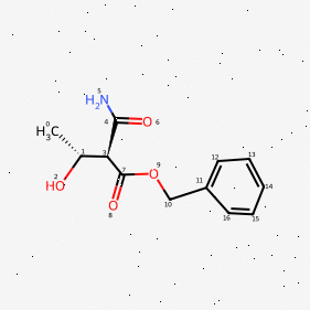 C[C@@H](O)[C@@H](C(N)=O)C(=O)OCc1ccccc1